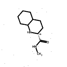 CNC(=O)[C@H]1CCC2CCCCC2N1